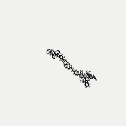 C[C@@H]1Cc2c([nH]c3ccccc23)[C@@H](c2cnc(N3CCC(CCN4CCOC5(CC4)CCN(c4ccc6c(c4)CN(C4CCC(=O)NC4=O)C6=O)CC5)CC3)nc2)N1CC(C)(C)F